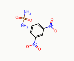 NS(N)(=O)=O.O=[N+]([O-])c1cccc([N+](=O)[O-])c1